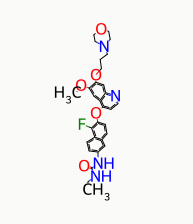 CCNC(=O)Nc1ccc2c(F)c(Oc3ccnc4cc(OCCCN5CCOCC5)c(OC)cc34)ccc2c1